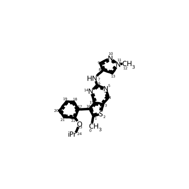 Cc1sc2cnc(Nc3cnn(C)c3)nc2c1-c1ccccc1OC(C)C